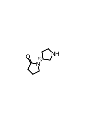 O=C1CCCN1[C@@H]1CCNC1